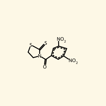 O=C(c1cc([N+](=O)[O-])cc([N+](=O)[O-])c1)N1CCSC1=S